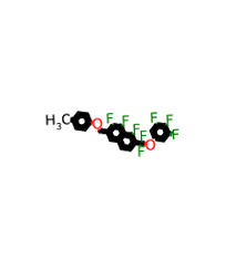 Cc1ccc(OCc2cc3ccc(C(F)(F)Oc4cc(F)c(F)c(F)c4)c(F)c3c(F)c2F)cc1